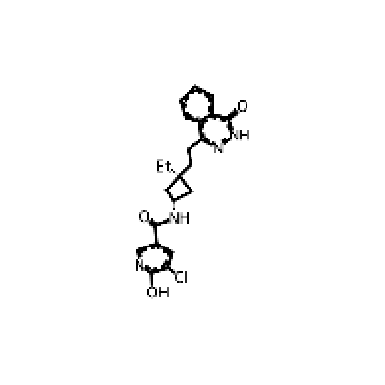 CC[C@]1(CCc2n[nH]c(=O)c3ccccc23)C[C@H](NC(=O)c2cnc(O)c(Cl)c2)C1